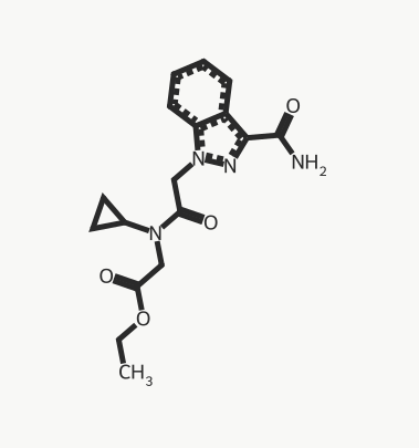 CCOC(=O)CN(C(=O)Cn1nc(C(N)=O)c2ccccc21)C1CC1